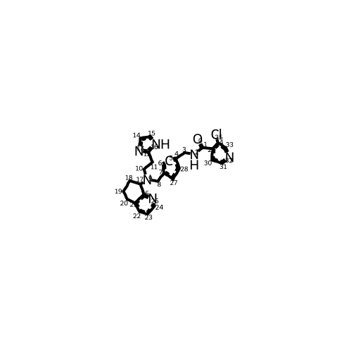 O=C(NCc1ccc(CN(CCc2ncc[nH]2)C2CCCc3cccnc32)cc1)c1ccncc1Cl